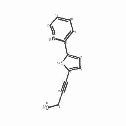 OCC#Cc1ccc(-c2ccccn2)s1